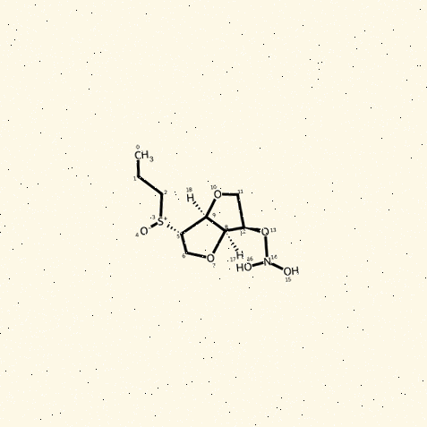 CCC[S+]([O-])[C@H]1CO[C@H]2[C@@H]1OC[C@H]2ON(O)O